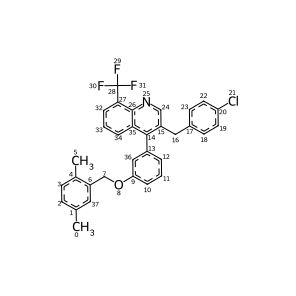 Cc1ccc(C)c(COc2cccc(-c3c(Cc4ccc(Cl)cc4)cnc4c(C(F)(F)F)cccc34)c2)c1